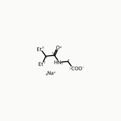 CCC(CC)C(=O)NCC(=O)[O-].[Na+]